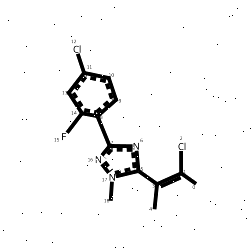 CC(Cl)=C(C)c1nc(-c2ccc(Cl)cc2F)nn1C